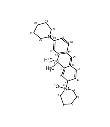 C[Si]1(C)C2=CC([N+]3([O-])CCCCC3)C=CC2=Cc2ccc(N3CCCCC3)cc21